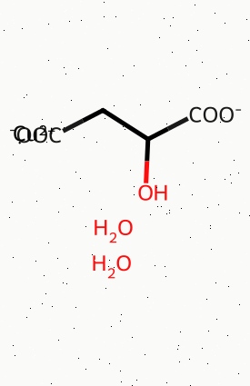 O.O.O=C([O-])CC(O)C(=O)[O-].[Cu+2]